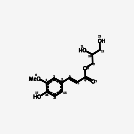 COc1cc(C=CC(=O)OCC(O)CO)ccc1O